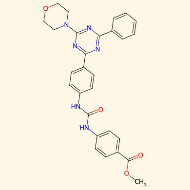 COC(=O)c1ccc(NC(=O)Nc2ccc(-c3nc(-c4ccccc4)nc(N4CCOCC4)n3)cc2)cc1